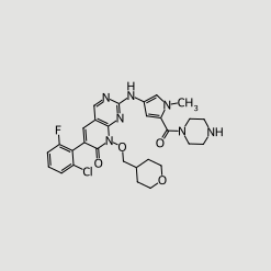 Cn1cc(Nc2ncc3cc(-c4c(F)cccc4Cl)c(=O)n(OCC4CCOCC4)c3n2)cc1C(=O)N1CCNCC1